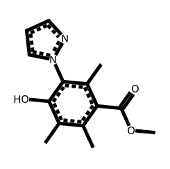 COC(=O)c1c(C)c(C)c(O)c(-n2cccn2)c1C